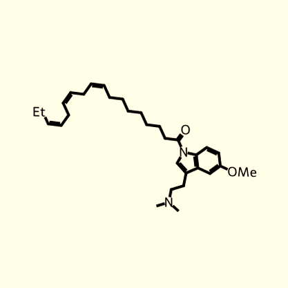 CC/C=C\C/C=C\C/C=C\CCCCCCCC(=O)n1cc(CCN(C)C)c2cc(OC)ccc21